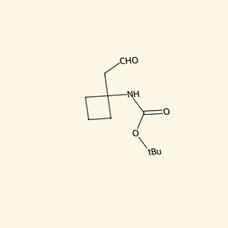 CC(C)(C)OC(=O)NC1(CC=O)CCC1